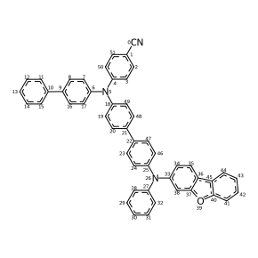 N#Cc1ccc(N(c2ccc(-c3ccccc3)cc2)c2ccc(-c3ccc(N(c4ccccc4)c4ccc5c(c4)oc4ccccc45)cc3)cc2)cc1